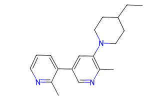 CCC1CCN(c2cc(-c3cccnc3C)cnc2C)CC1